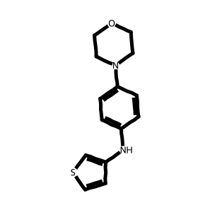 c1cc(Nc2ccc(N3CCOCC3)cc2)cs1